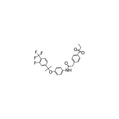 CCS(=O)(=O)c1ccc(CC(=O)Nc2ccc(OC(C)(C)c3ccc(C(F)(F)F)c(F)c3)cc2)cc1